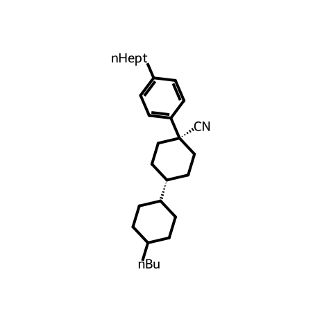 CCCCCCCc1ccc([C@]2(C#N)CC[C@@H](C3CCC(CCCC)CC3)CC2)cc1